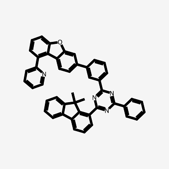 CC1(C)c2ccccc2-c2cccc(-c3nc(-c4ccccc4)nc(-c4cccc(-c5ccc6c(c5)oc5cccc(-c7ccccn7)c56)c4)n3)c21